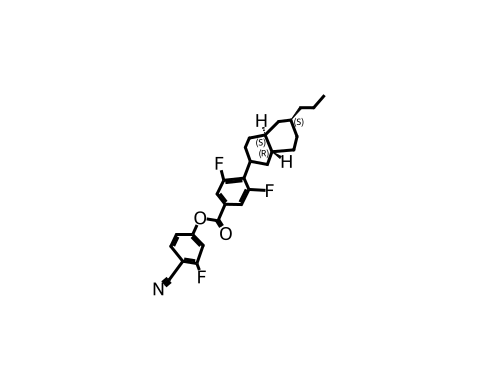 CCC[C@H]1CC[C@@H]2CC(c3c(F)cc(C(=O)Oc4ccc(C#N)c(F)c4)cc3F)CC[C@H]2C1